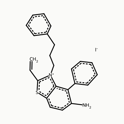 C=Cc1sc2ccc(N)c(-c3ccccc3)c2[n+]1CCCc1ccccc1.[I-]